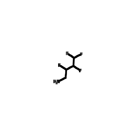 NCC(F)C(F)C(F)F